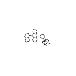 C=C1OB(c2cccc(-c3c4ccccc4c(-c4cccc5ccccc45)c4ccccc34)c2)OC1(C)C